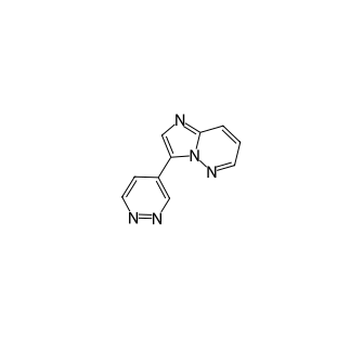 c1cnn2c(-c3ccnnc3)cnc2c1